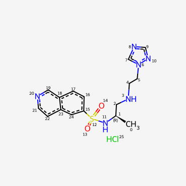 C[C@H](CNCCn1cncn1)NS(=O)(=O)c1ccc2cnccc2c1.Cl